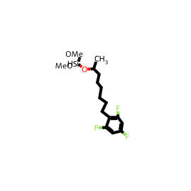 CO[SiH](OC)OC(C)CCCCCCc1c(F)cc(F)cc1F